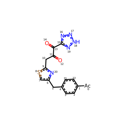 CC(=O)c1ccc(Cc2csc(CC(=O)C(=O)c3nn[nH]n3)n2)cc1